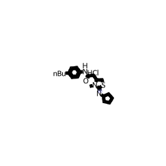 CCCCc1ccc(NC(=O)CC2CS/C(=N\C3CCCC3)N2C)cc1.Cl